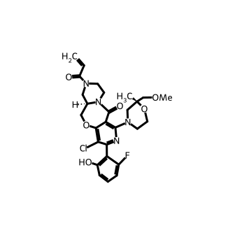 C=CC(=O)N1CCN2C(=O)c3c(N4CCO[C@@](C)(COC)C4)nc(-c4c(O)cccc4F)c(Cl)c3OC[C@H]2C1